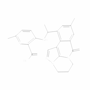 Cc1cc(C(C)Nc2ccc(C)nc2C(=O)O)c2c(c1)c(=O)n1c3c2cnn3CCC1